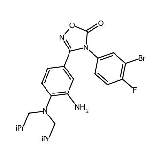 CC(C)CN(CC(C)C)c1ccc(-c2noc(=O)n2-c2ccc(F)c(Br)c2)cc1N